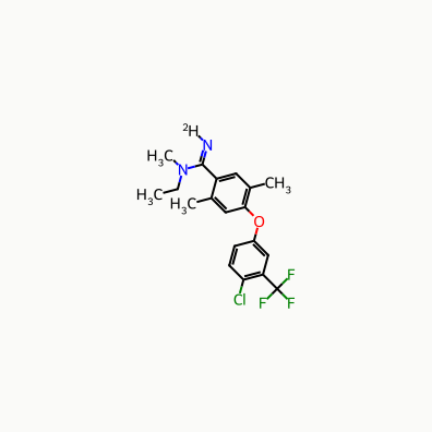 [2H]N=C(c1cc(C)c(Oc2ccc(Cl)c(C(F)(F)F)c2)cc1C)N(C)CC